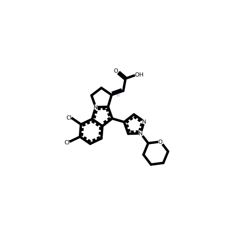 O=C(O)/C=C1\CCn2c1c(-c1cnn(C3CCCCO3)c1)c1ccc(Cl)c(Cl)c12